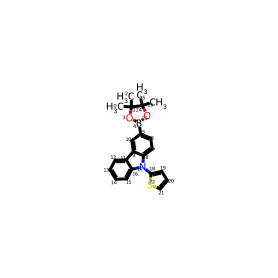 CC1(C)OB(c2ccc3c(c2)c2ccccc2n3-c2cccs2)OC1(C)C